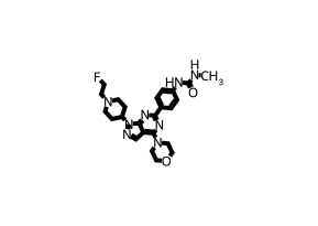 CNC(=O)Nc1ccc(-c2nc(N3CCOCC3)c3cnn(C4CCN(CCF)CC4)c3n2)cc1